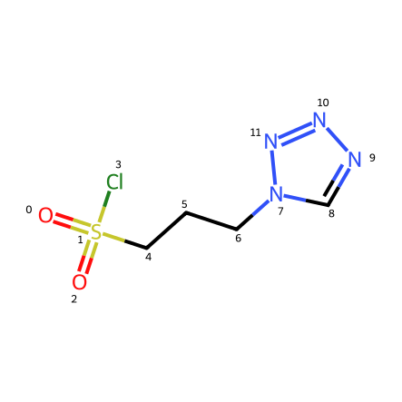 O=S(=O)(Cl)CCCn1cnnn1